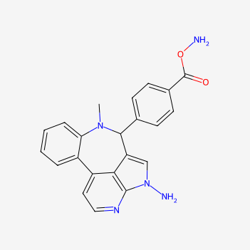 CN1c2ccccc2-c2ccnc3c2c(cn3N)C1c1ccc(C(=O)ON)cc1